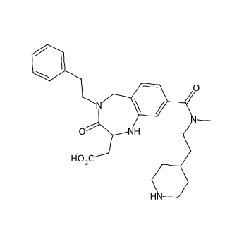 CN(CCC1CCNCC1)C(=O)c1ccc2c(c1)NC(CC(=O)O)C(=O)N(CCc1ccccc1)C2